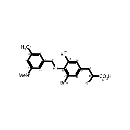 CNc1cc(C)cc(COc2c(Br)cc(CC(F)C(=O)O)cc2Br)c1